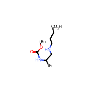 CC(C)C(CNCCCC(=O)O)NC(=O)OC(C)(C)C